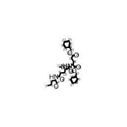 CCCC(C=O)NC(=O)CCC(NC)C(=O)NC(CCC(=O)OCc1ccccc1)C(=O)OCc1ccccc1